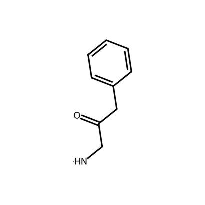 [NH]CC(=O)Cc1ccccc1